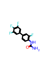 NC(=O)Nc1ccc(-c2cc(F)c(F)c(F)c2)cc1F